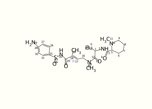 CCC(C)C(NC(=O)C1CCCCN1C)C(=O)N(C)C/C=C(\C)C(=O)N[S+]([O-])c1ccc(N)cc1